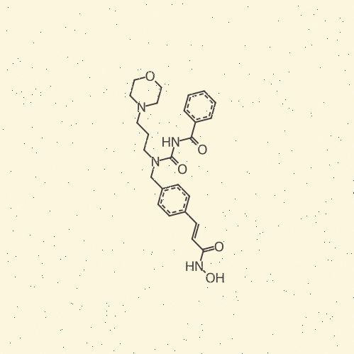 O=C(/C=C/c1ccc(CN(CCCN2CCOCC2)C(=O)NC(=O)c2ccccc2)cc1)NO